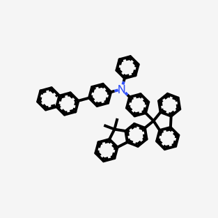 CC1(C)c2ccccc2-c2ccc(C3(c4ccc(N(c5ccccc5)c5ccc(-c6ccc7ccccc7c6)cc5)cc4)c4ccccc4-c4ccccc43)cc21